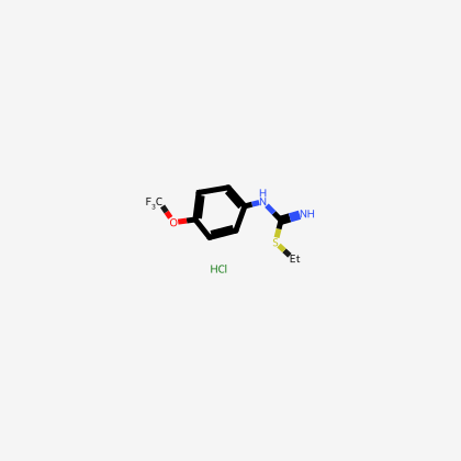 CCSC(=N)Nc1ccc(OC(F)(F)F)cc1.Cl